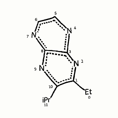 CCc1nc2nccnc2nc1C(C)C